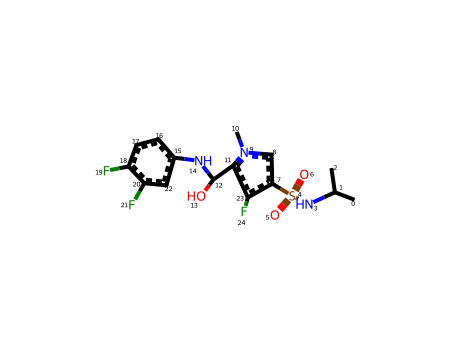 CC(C)NS(=O)(=O)c1cn(C)c(C(O)Nc2ccc(F)c(F)c2)c1F